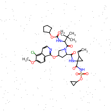 C=CC1CC1(NC(=O)C1CC(Oc2nccc3c(Cl)c(OC)ccc23)CN1C(=O)C(NC(=O)OC1CCCC1)C(C)(C)C)C(=O)NS(=O)(=O)OC1CC1